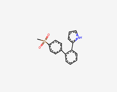 CS(=O)(=O)c1ccc(-c2ccccc2-c2ccc[nH]2)cc1